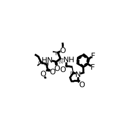 CC[C@H](C)[C@H](NC(=O)[C@@H](NC(=O)C[C@@H]1CCC(=O)N1Cc1cccc(F)c1F)[C@@H](C)OC)C(=O)OC